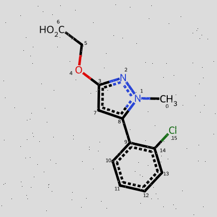 Cn1nc(OCC(=O)O)cc1-c1ccccc1Cl